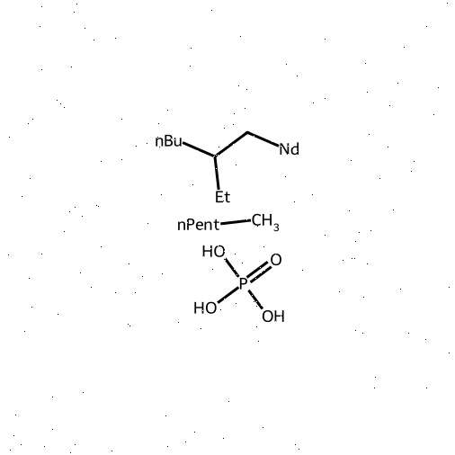 CCCCC(CC)[CH2][Nd].CCCCCC.O=P(O)(O)O